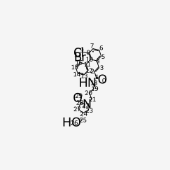 O=C(/C=C/c1cc[c]c(Cl)c1-c1ccccc1Br)NCCCN1C[C@H](CO)CC1=O